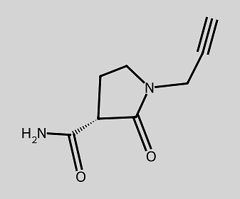 C#CCN1CC[C@@H](C(N)=O)C1=O